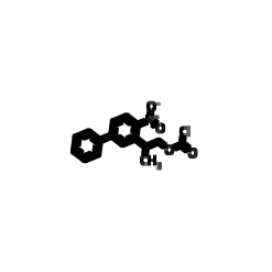 CC(COC(=O)Cl)c1cc(-c2ccccc2)ccc1[N+](=O)[O-]